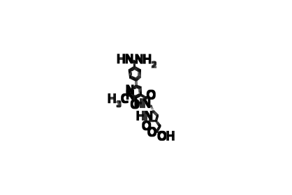 Cn1nc(-c2ccc(C(=N)N)cc2)cc(C(=O)NC[C@@H]2C[C@@H](CC(=O)O)C(=O)N2)c1=O